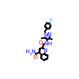 Cc1nn(Cc2ccc(F)cc2)c(C)c1NC(=O)c1cc(C(N)=O)c2ccccc2n1